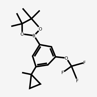 CC1(c2cc(OC(F)(F)F)cc(B3OC(C)(C)C(C)(C)O3)c2)CC1